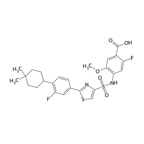 COc1cc(C(=O)O)c(F)cc1NS(=O)(=O)c1csc(-c2ccc(C3CCC(C)(C)CC3)c(F)c2)n1